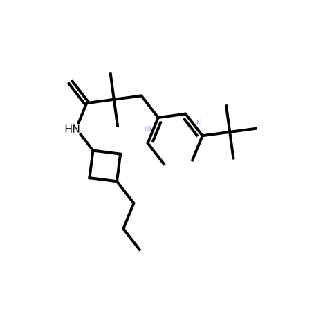 C=C(NC1CC(CCC)C1)C(C)(C)CC(=C/C)/C=C(\C)C(C)(C)C